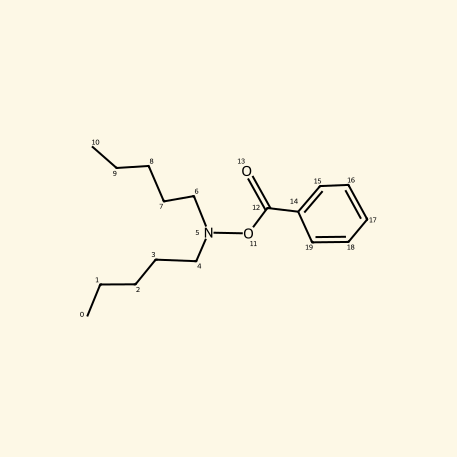 CCCCCN(CCCCC)OC(=O)c1ccccc1